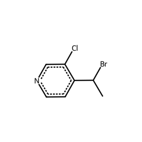 CC(Br)c1ccncc1Cl